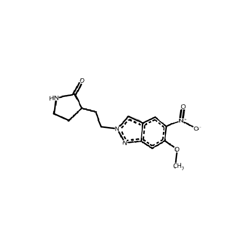 COc1cc2nn(CCC3CCNC3=O)cc2cc1[N+](=O)[O-]